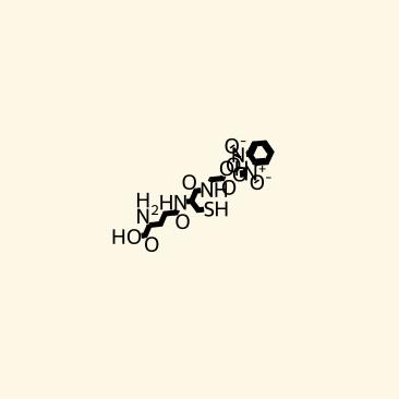 NC(CCC(=O)NC(CS)C(=O)NCC(=O)O)C(=O)O.O=[N+]([O-])c1ccccc1[N+](=O)[O-]